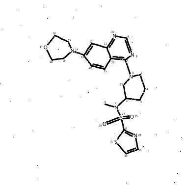 CN(C1CCCN(c2ncnc3cc(N4CCOCC4)ccc23)C1)S(=O)(=O)c1nccs1